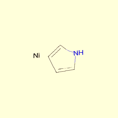 [Ni].c1cc[nH]c1